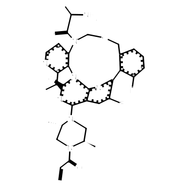 C=CC(=O)N1C[C@H](C)N(c2nc(=O)n3c4nc(c(F)cc24)-c2c(F)cccc2CCCN(C(=O)C(C)N)c2ccnc(C(C)C)c2-3)C[C@H]1C